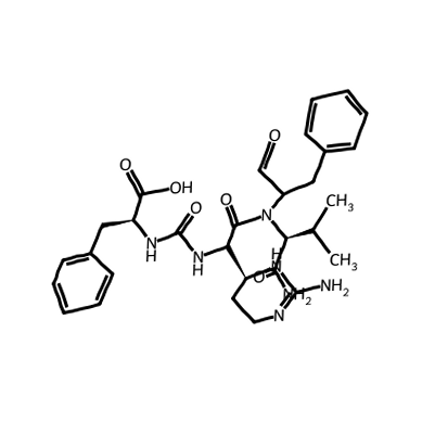 CC(C)[C@@H](C(N)=O)N(C(=O)C(NC(=O)N[C@@H](Cc1ccccc1)C(=O)O)[C@@H]1CCN=C(N)N1)C(C=O)Cc1ccccc1